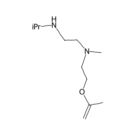 C=C(C)OCCN(C)CCNC(C)C